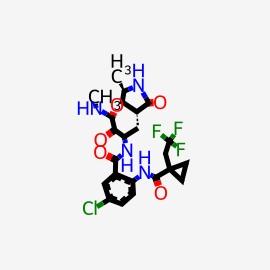 CNC(=O)C(=O)C(C[C@@H]1C[C@@H](C)NC1=O)NC(=O)c1cc(Cl)ccc1NC(=O)C1(CC(F)(F)F)CC1